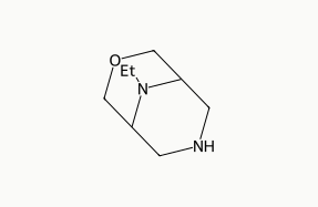 CCN1C2CNCC1COC2